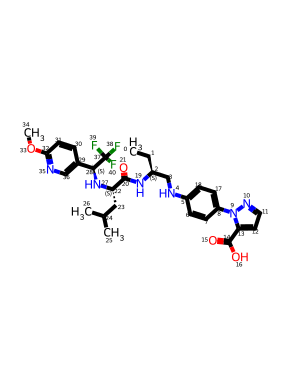 CC[C@@H](CNc1ccc(-n2nccc2C(=O)O)cc1)NC(=O)[C@H](CC(C)C)N[C@@H](c1ccc(OC)nc1)C(F)(F)F